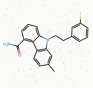 Cc1c[c]c2c3c(C(N)=O)cccc3n(CCc3cccc(F)c3)c2c1